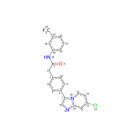 O=C(Cc1ccc(-c2cnc3cc(Cl)ccn23)cc1)Nc1cccc(C(F)(F)F)c1